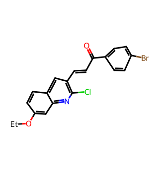 CCOc1ccc2cc(/C=C/C(=O)c3ccc(Br)cc3)c(Cl)nc2c1